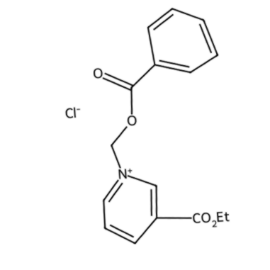 CCOC(=O)c1ccc[n+](COC(=O)c2ccccc2)c1.[Cl-]